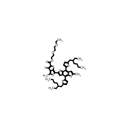 CCCCC(CC)Cc1ccc(-c2c3cc(-c4sc(C)c5c(F)c(C(=O)OCCOCCOCC)sc45)sc3c(-c3ccc(CC(CC)CCCC)s3)c3cc(C)sc23)s1